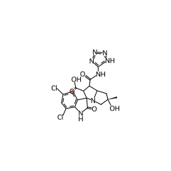 C[C@]1(O)CC2C(C(=O)Nc3nnn[nH]3)C(C(=O)O)C3(C(=O)Nc4c(Cl)cc(Cl)cc43)N2C1